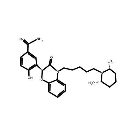 C[C@@H]1CCC[C@H](C)N1CCCCCN1C(=O)[C@H](c2cc(C(=N)N)ccc2O)Oc2ccccc21